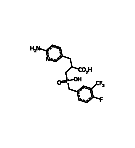 Nc1ccc(CC(CP(=O)(O)Cc2ccc(F)c(C(F)(F)F)c2)C(=O)O)cn1